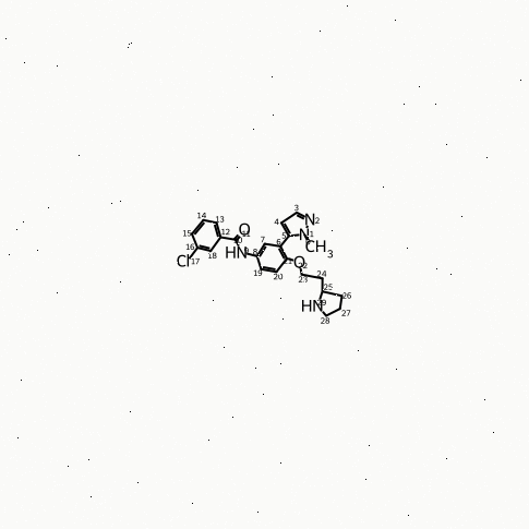 Cn1nccc1-c1cc(NC(=O)c2cccc(Cl)c2)ccc1OCCC1CCCN1